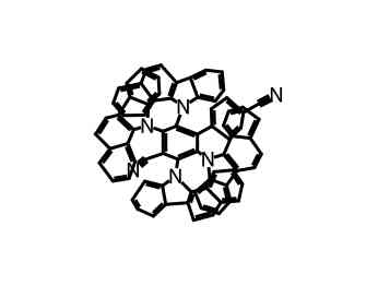 N#Cc1ccc(-c2c(-n3c4ccccc4c4ccc5ccccc5c43)c(-n3c4ccccc4c4ccc5ccccc5c43)c(C#N)c(-n3c4ccccc4c4ccc5ccccc5c43)c2-n2c3ccccc3c3ccc4ccccc4c32)cc1